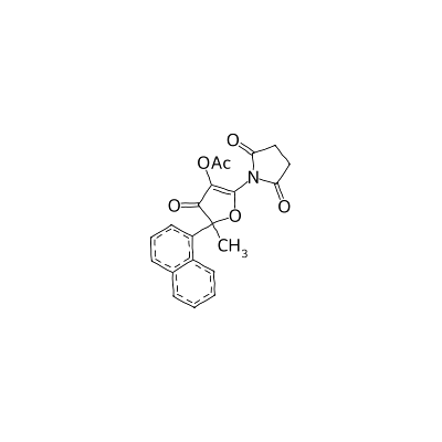 CC(=O)OC1=C(N2C(=O)CCC2=O)OC(C)(c2cccc3ccccc23)C1=O